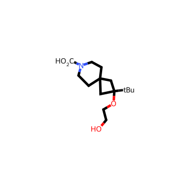 CC(C)(C)C1(OCCO)CC2(CCN(C(=O)O)CC2)C1